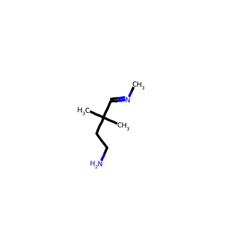 C/N=C/C(C)(C)CCN